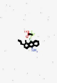 C=CCc1ccc2c(N)c3ccccc3c(Cl)c2c1C.O=C(O)C(F)(F)F